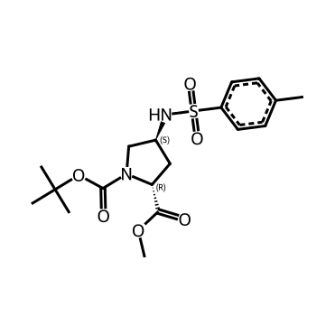 COC(=O)[C@H]1C[C@H](NS(=O)(=O)c2ccc(C)cc2)CN1C(=O)OC(C)(C)C